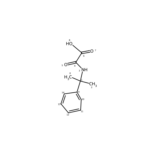 CC(C)(NC(=O)C(=O)O)c1ccccc1